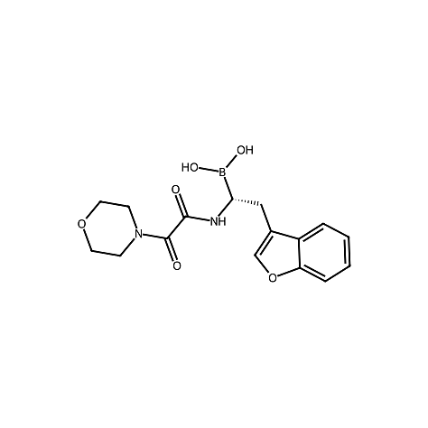 O=C(N[C@@H](Cc1coc2ccccc12)B(O)O)C(=O)N1CCOCC1